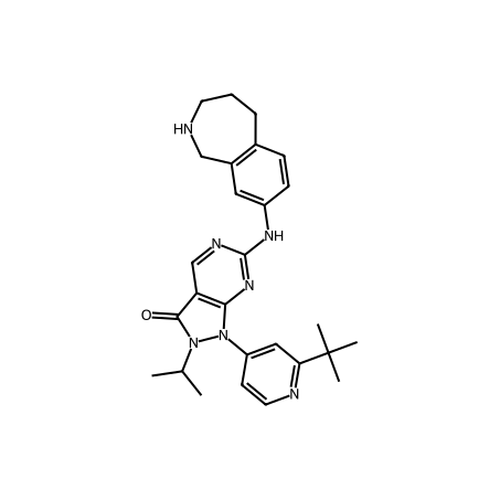 CC(C)n1c(=O)c2cnc(Nc3ccc4c(c3)CNCCC4)nc2n1-c1ccnc(C(C)(C)C)c1